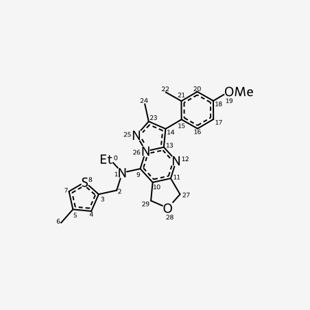 CCN(Cc1cc(C)cs1)c1c2c(nc3c(-c4ccc(OC)cc4C)c(C)nn13)COC2